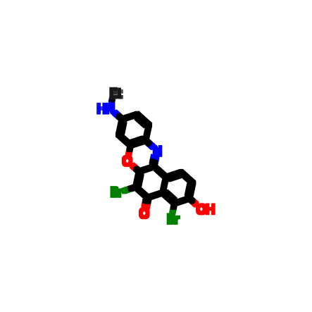 CCNc1ccc2nc3c4ccc(O)c(Br)c4c(=O)c(Br)c-3oc2c1